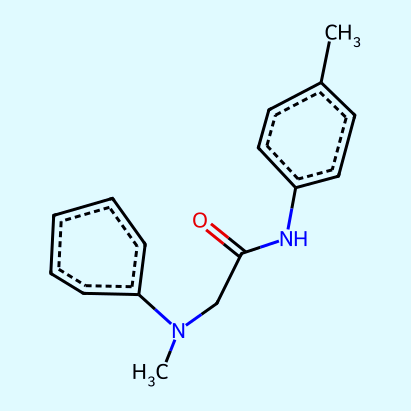 Cc1ccc(NC(=O)CN(C)c2ccccc2)cc1